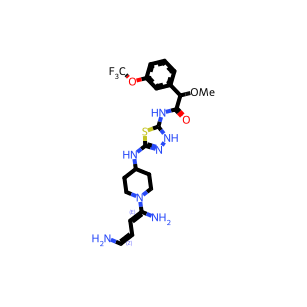 COC(C(=O)NC1NN=C(NC2CCN(/C(N)=C/C=C\N)CC2)S1)c1cccc(OC(F)(F)F)c1